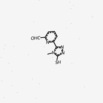 Cn1c(S)nnc1-c1cccc(C=O)n1